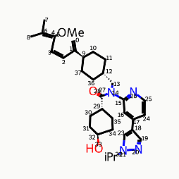 C=C(/C=C\C(OC)=C(C)C)[C@H]1CC[C@H](CN(c2cc(-c3cnn(C(C)C)c3)ccn2)C(=O)[C@H]2CC[C@H](O)CC2)CC1